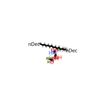 CCCCCCCCCCCCCCCCCC(CCCCCCCCCCCCCCCCC)OC(=O)NCCO.O=C(O)C(F)(F)F